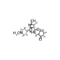 Cc1cc(C(=O)N(CCC2CCN(C)CC2)Cc2ccccc2Cl)[nH]n1